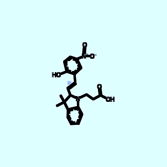 CC1(C)c2ccccc2N(CCC(=O)O)C1/C=C/c1cc([N+](=O)[O-])ccc1O